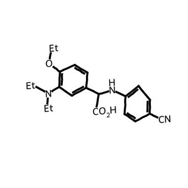 CCOc1ccc(C(Nc2ccc(C#N)cc2)C(=O)O)cc1N(CC)CC